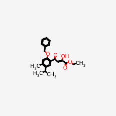 CCOC(=O)/C(O)=C/C(=O)c1cc(C(C)C)c(C)cc1OCc1ccccc1